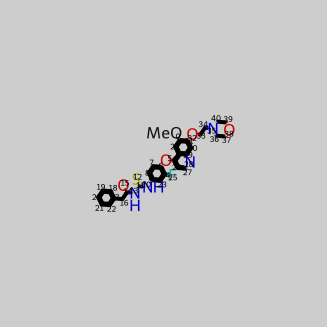 COc1cc2c(Oc3ccc(NC(=S)NC(=O)Cc4ccccc4)cc3F)ccnc2cc1OCCN1CCOCC1